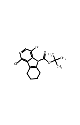 CC(C)(C)OC(=O)n1c2c(c3c(Cl)ncc(Br)c31)CCCC2